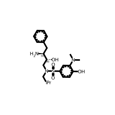 CC(C)CN(C[C@@H](O)[C@@H](N)Cc1ccccc1)S(=O)(=O)c1ccc(O)c(N(C)C)c1